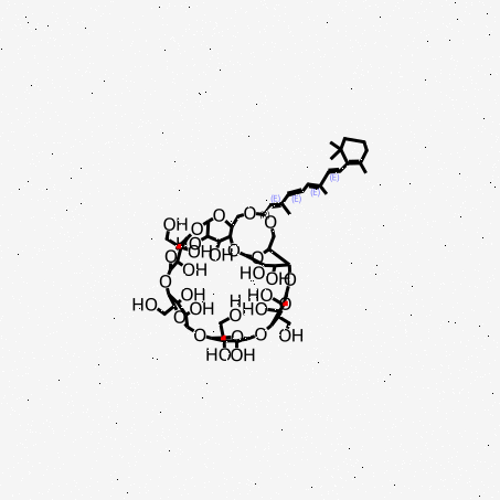 CC1=C(/C=C/C(C)=C/C=C/C(C)=C/[C@H]2OCC3OC4OC5C(CO2)OC(OC2C(CO)OC(OC6C(CO)OC(OC7C(CO)OC(OC8C(CO)OC(OC3C(O)C4O)C(O)C8O)C(O)C7O)C(O)C6O)C(O)C2O)C(O)C5O)C(C)(C)CCC1